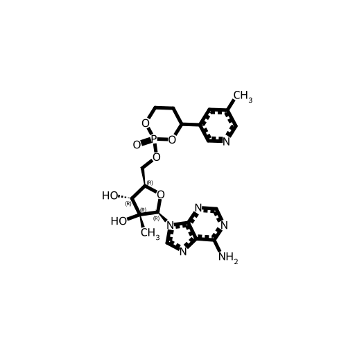 Cc1cncc(C2CCOP(=O)(OC[C@H]3O[C@@H](n4cnc5c(N)ncnc54)[C@](C)(O)[C@@H]3O)O2)c1